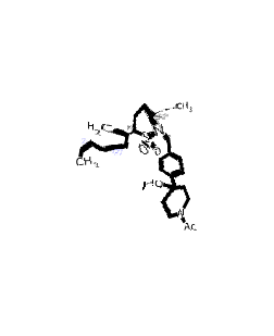 C=C(/C=C\C=C/C)[C@H]1CC[C@H](C)N(Cc2ccc(C3(O)CCN(C(C)=O)CC3)cc2)S1(=O)=O